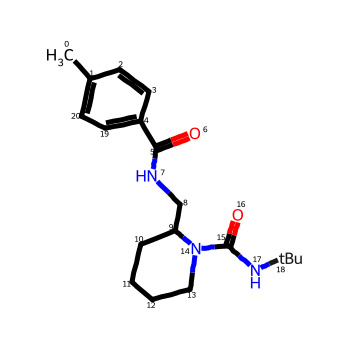 Cc1ccc(C(=O)NCC2CCCCN2C(=O)NC(C)(C)C)cc1